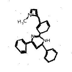 C[N+]1=CC=C1C1=CC(C2=NC(c3ccccc3)=CC(C3=CCCC=C3)N2)CC=C1